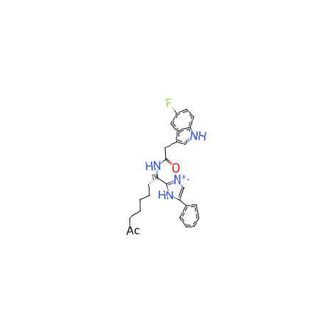 CC(=O)CCCCC[C@H](NC(=O)Cc1c[nH]c2ccc(F)cc12)C1=[N+]C=C(c2ccccc2)N1